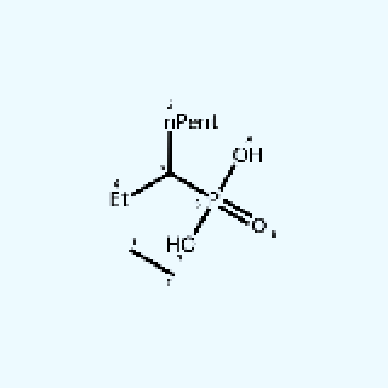 CC.CCCCCC(CC)P(=O)(O)O